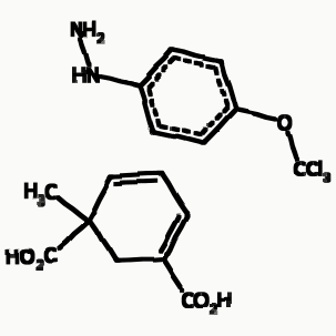 CC1(C(=O)O)C=CC=C(C(=O)O)C1.NNc1ccc(OC(Cl)(Cl)Cl)cc1